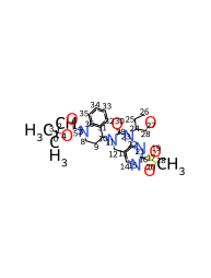 CC(C)(C)OC(=O)N1CC[C@H](N2Cc3cnc(S(C)(=O)=O)nc3N([C@H]3CCOC3)C2=O)c2ccccc21